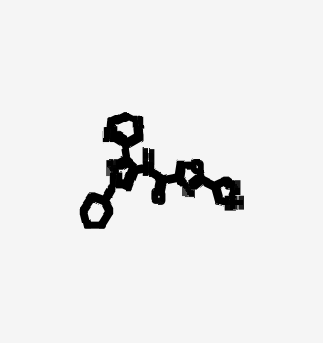 O=C(Nc1cn(C2CCCCC2)nc1-c1cnccn1)c1coc(-c2cn[nH]c2)n1